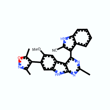 COc1cc2c(cc1-c1c(C)noc1C)[nH]c1nc(C)nc(-c3c(C#N)[nH]c4ccccc34)c12